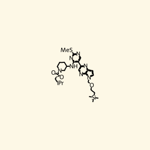 CSc1ncc(-c2cnc3c(ccn3COCC[Si](C)(C)C)n2)c(NC2CCCN(S(=O)(=O)CC(C)C)C2)n1